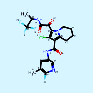 Cc1cc(NC(=O)c2c(Cl)c(C(=O)C(=O)NC(C)C(F)(F)F)n3c2CCCC3)cnc1F